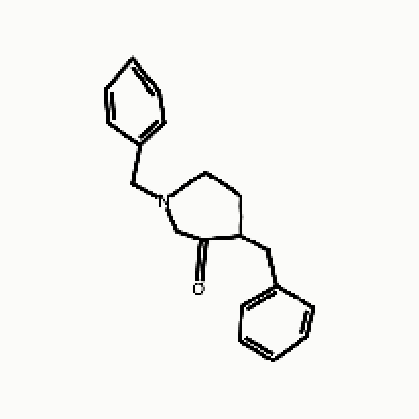 O=C1CN(Cc2ccccc2)CCC1Cc1ccccc1